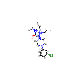 CCCN1C(CC)N(CC)C(=O)N1N1CCN(c2cccc(Cl)c2)CC1